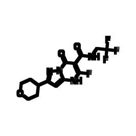 O=C(NCC(F)(F)F)c1c(F)[nH]c2cc(C3CCOCC3)nn2c1=O